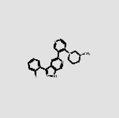 N[C@H]1CCCN(c2ccncc2-c2cc3c(-c4ccccc4F)n[nH]c3cn2)C1